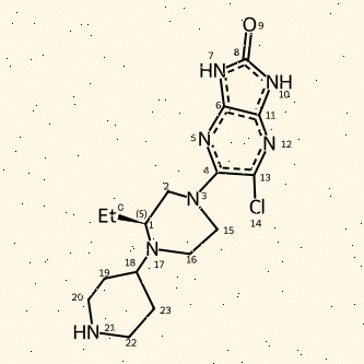 CC[C@H]1CN(c2nc3[nH]c(=O)[nH]c3nc2Cl)CCN1C1CCNCC1